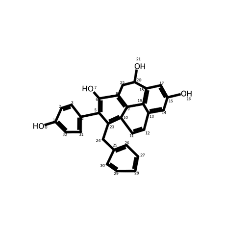 Oc1ccc(-c2c(O)c3c4c(ccc5cc(O)cc(c54)C(O)C3)c2Cc2ccccc2)cc1